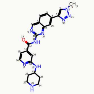 Cn1cc(-c2ccc3cnc(NC(=O)c4ccnc(NC5CCNCC5)c4)nc3c2)nn1